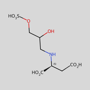 O=C(O)C[C@H](NCC(O)COS(=O)(=O)O)C(=O)O